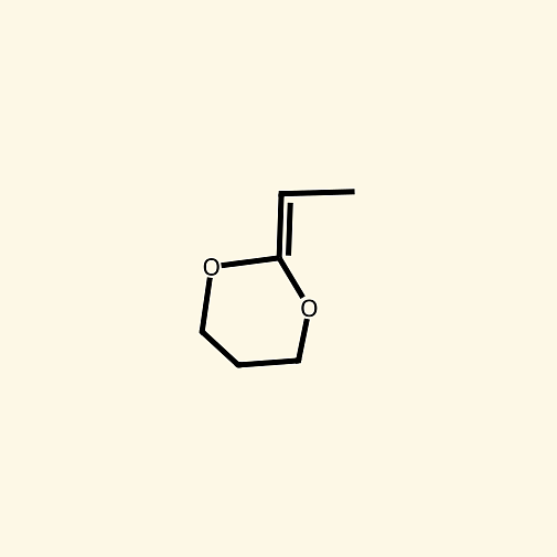 CC=C1OCCCO1